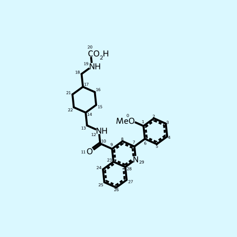 COc1ccccc1-c1cc(C(=O)NCC2CCC(CNC(=O)O)CC2)c2ccccc2n1